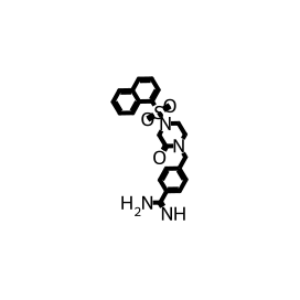 N=C(N)c1ccc(CN2CCN(S(=O)(=O)c3cccc4ccccc34)CC2=O)cc1